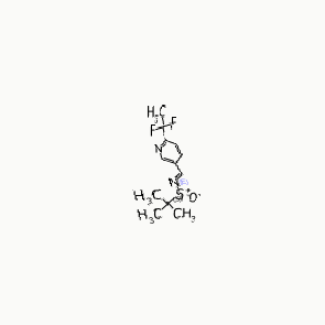 CC(F)(F)c1ccc(/C=N/[S@+]([O-])C(C)(C)C)cn1